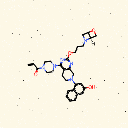 C=CC(=O)N1CCN(c2nc(OCCCN3CC4OC[C@H]43)nc3c2CCN(c2cc(O)cc4ccccc24)C3)CC1